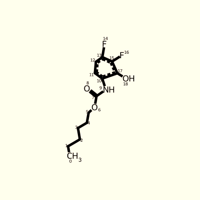 CCCCCCOC(=O)Nc1ccc(F)c(F)c1O